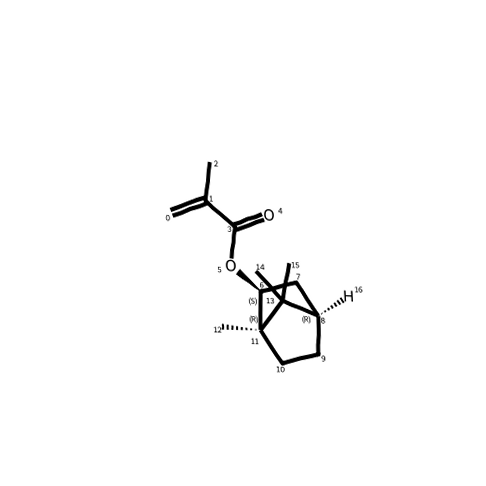 C=C(C)C(=O)O[C@H]1C[C@H]2CC[C@]1(C)C2(C)C